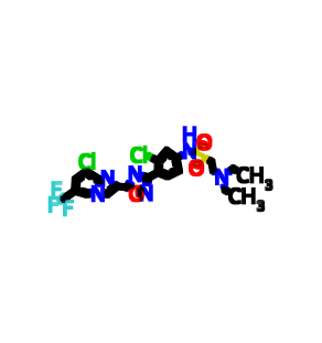 CCN(CC)CCS(=O)(=O)Nc1ccc(-c2noc(-c3cn4cc(C(F)(F)F)cc(Cl)c4n3)n2)c(Cl)c1